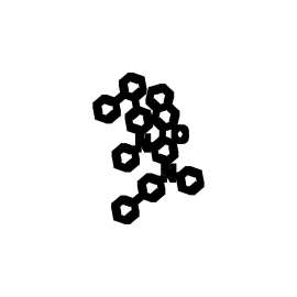 c1ccc(-c2ccc(N(c3ccccc3)c3cc(N(c4ccccc4)c4ccc(-c5ccccc5-c5ccccc5)cc4)c4c(c3)oc3cc5ccccc5cc34)cc2)cc1